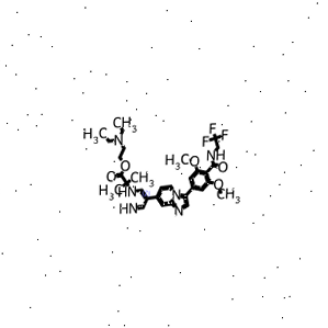 CCN(CC)CCOC(=O)C(C)(C)N/C=C(\C=N)c1ccn2c(-c3cc(OC)c(C(=O)NCC(F)(F)F)c(OC)c3)cnc2c1